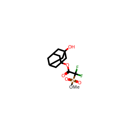 COS(=O)(=O)C(F)(F)C(=O)OC12CC3CC(CC(O)(C3)C1)C2